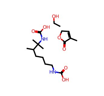 CC(CCCCNC(=O)O)C(C)(C)NC(=O)O.CC1=CCOC1=O.CCO